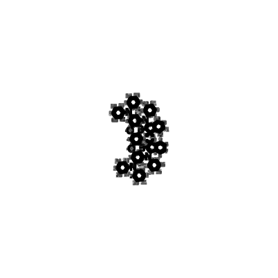 CC1(C)C2=C(c3ccccc31)N(c1ccccc1)c1cc(N(c3ccccc3)c3ccccc3)cc3c1B2c1cc2c(cc1O3)Oc1cc(N(c3ccccc3)c3ccccc3)cc3c1B2C1=C(c2ccccc2C1(C)C)N3c1ccccc1